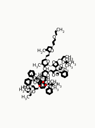 C=CCOC/C=C/[C@H]1CC(=C)[C@H](CC[C@H]2C[C@@H](C)C(=C)[C@@H](C[C@@H]3O[C@H](C[C@@H](CC)OC(C)(C)C)[C@H](OC)[C@H]3C(C(=O)C[C@H]3CC[C@@H]4O[C@@H]5[C@@H](O[C@H](CC(C=C)O[Si](CC)(CC)CC)[C@@H]5O[Si](c5ccccc5)(c5ccccc5)C(C)(C)C)[C@@H](O[Si](c5ccccc5)(c5ccccc5)C(C)(C)C)[C@H]4O3)S(=O)(=O)c3ccccc3)O2)O1